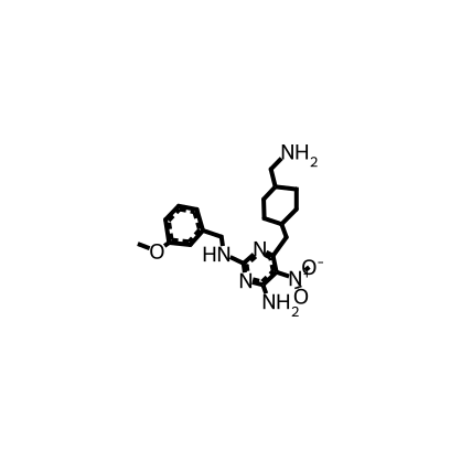 COc1cccc(CNc2nc(N)c([N+](=O)[O-])c(CC3CCC(CN)CC3)n2)c1